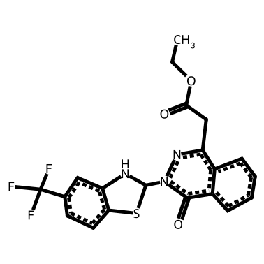 CCOC(=O)Cc1nn(C2Nc3cc(C(F)(F)F)ccc3S2)c(=O)c2ccccc12